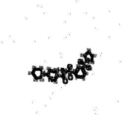 O=C(NS(=O)(=O)c1cccc(S(=O)(=O)N2CCCC2)c1)c1ccc(N2CCCCC2)nc1